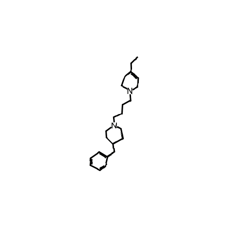 CCC1=CCN(CCCCN2CCC(Cc3ccccc3)CC2)CC1